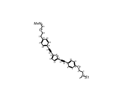 CCN(C)CCOc1ccc(C#Cc2ccc(C#Cc3ccc(CCOCNC)cc3)s2)cc1